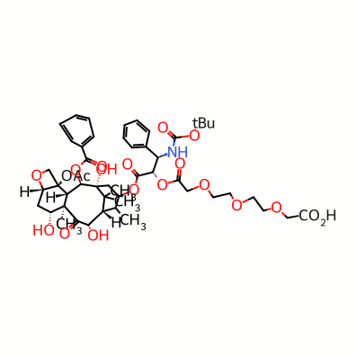 CC(=O)O[C@]12CO[C@H]1C[C@@H](O)[C@]1(C)C(=O)[C@@H](O)[C@H]3C(C)C(OC(=O)[C@@H](OC(=O)COCCOCCOCC(=O)O)[C@H](NC(=O)OC(C)(C)C)c4ccccc4)C[C@](O)([C@H](OC(=O)c4ccccc4)[C@@H]21)C3(C)C